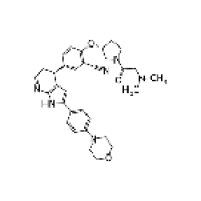 CN(C)CC(=O)N1CC[C@@H](Oc2ccc([C@@H]3CC=Nc4[nH]c(-c5ccc(N6CCOCC6)cc5)cc43)cc2C#N)C1